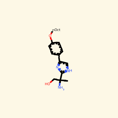 CCCCCCCCOc1ccc(-c2c[nH]c(C(C)(N)CO)n2)cc1